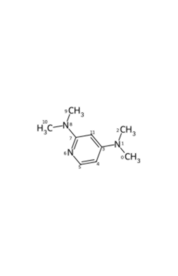 CN(C)c1ccnc(N(C)C)c1